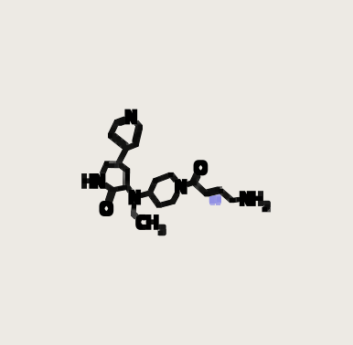 CCN(c1cc(-c2ccncc2)c[nH]c1=O)C1CCN(C(=O)/C=C/CN)CC1